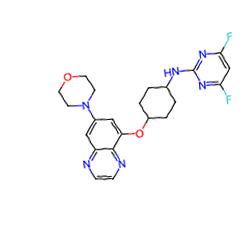 Fc1cc(F)nc(NC2CCC(Oc3cc(N4CCOCC4)cc4nccnc34)CC2)n1